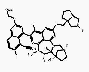 C#Cc1c(F)ccc2cc(OCOC)cc(-c3nc4c5c(nc(OC[C@@]67CCCN6C[C@H](F)C7)nc5c3F)N3C[C@H]5CC[C@H](C5)[C@@H]3[C@@H](C)[C@H]4C)c12